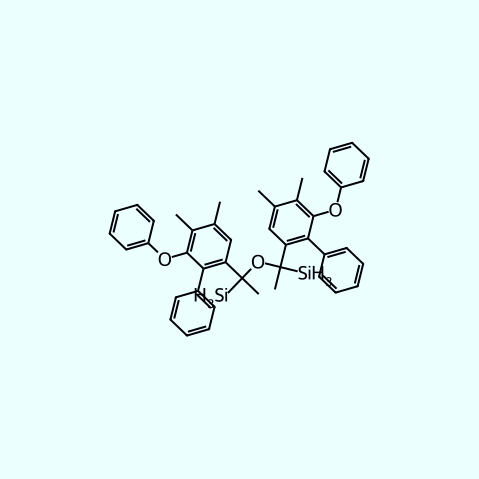 Cc1cc(C(C)([SiH3])OC(C)([SiH3])c2cc(C)c(C)c(Oc3ccccc3)c2-c2ccccc2)c(-c2ccccc2)c(Oc2ccccc2)c1C